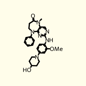 COc1cc(N2CCC(O)CC2)ccc1Nc1ncc2c(n1)N(c1ccccc1)CCC(=O)N2C